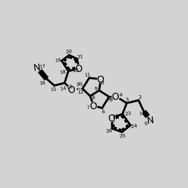 N#CCC(O[C@@H]1COC2C1OC[C@H]2OC(CC#N)c1ccco1)c1ccco1